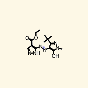 CCOC(=O)c1cn[nH]c1/N=N/c1c(C(C)(C)C)nn(C)c1O